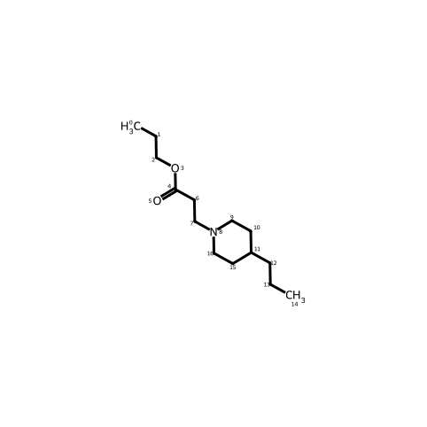 CCCOC(=O)CCN1CCC(CCC)CC1